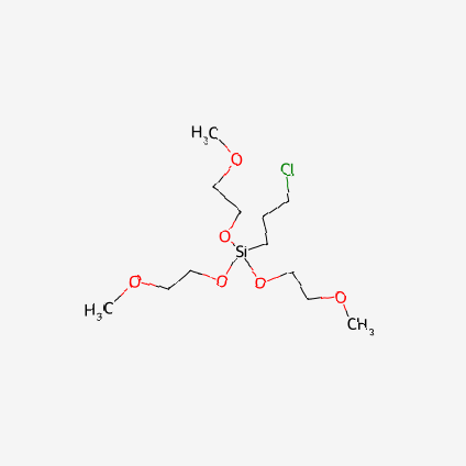 COCCO[Si](CCCCl)(OCCOC)OCCOC